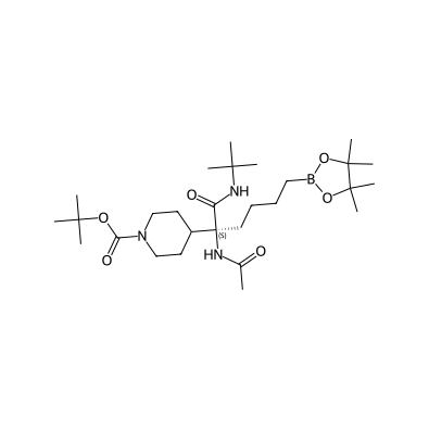 CC(=O)N[C@](CCCCB1OC(C)(C)C(C)(C)O1)(C(=O)NC(C)(C)C)C1CCN(C(=O)OC(C)(C)C)CC1